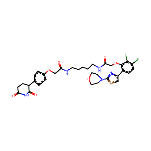 O=C(COc1ccc(C2CCC(=O)NC2=O)cc1)NCCCCCNC(=O)COc1c(-c2csc(N3CCOCC3)n2)ccc(F)c1F